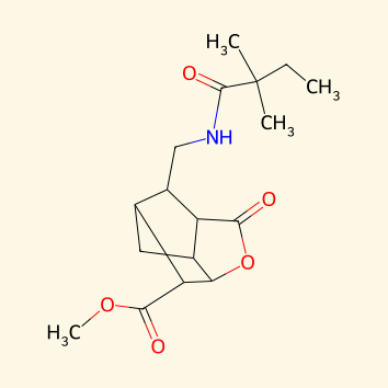 CCC(C)(C)C(=O)NCC1C2CC3C(OC(=O)C13)C2C(=O)OC